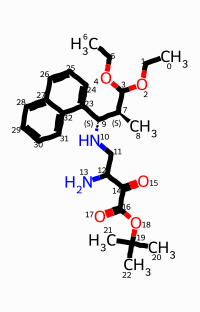 CCOC(OCC)[C@@H](C)[C@H](NCC(N)C(=O)C(=O)OC(C)(C)C)c1cccc2ccccc12